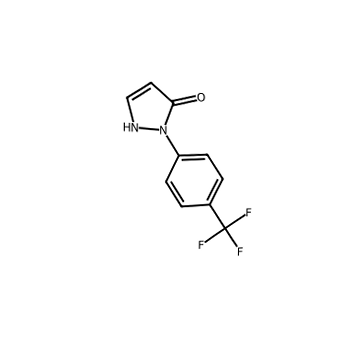 O=c1cc[nH]n1-c1ccc(C(F)(F)F)cc1